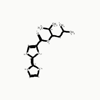 CC(C)CC(OC(=O)C1=CSC(=C2SC=CS2)S1)C(C)C